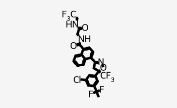 CC(F)(F)c1cc(Cl)cc(C2(C(F)(F)F)CC(c3ccc(C(=O)NCC(=O)NCC(F)(F)F)c4ccccc34)=NO2)c1